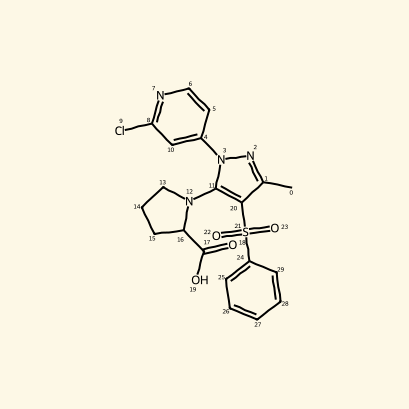 Cc1nn(-c2ccnc(Cl)c2)c(N2CCCC2C(=O)O)c1S(=O)(=O)c1ccccc1